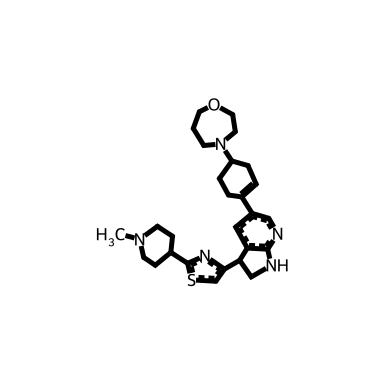 CN1CCC(c2nc(C3CNc4ncc(C5=CCC(N6CCCOCC6)CC5)cc43)cs2)CC1